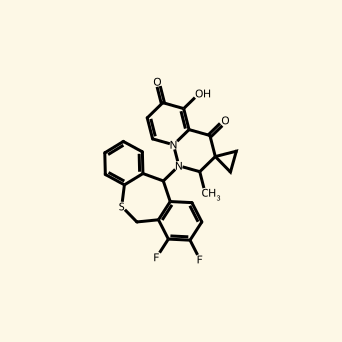 CC1N(C2c3ccccc3SCc3c2ccc(F)c3F)n2ccc(=O)c(O)c2C(=O)C12CC2